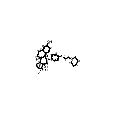 C[C@]12C[C@H](c3ccc(OCCN4CCCCC4)cc3)[C@@H]3c4ccc(O)cc4CC[C@H]3[C@@H]1CC[C@@]2(O)C(F)(F)F